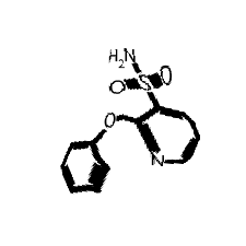 NS(=O)(=O)c1cccnc1Oc1ccccc1